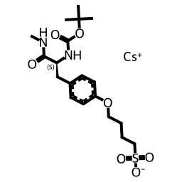 CNC(=O)[C@H](Cc1ccc(OCCCCS(=O)(=O)[O-])cc1)NC(=O)OC(C)(C)C.[Cs+]